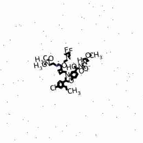 CCCc1cc(Cl)ccc1C1COc2ccc(C(O)C(=O)N[S+]([O-])N3CC(OC)C3)cc2N(CC2CCC2C(/C=C/CCN(C)C(C)=O)OCCN2CC(F)(F)C2)C1